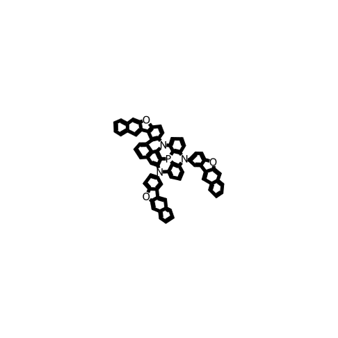 c1ccc2cc3c(cc2c1)oc1ccc(-n2c4cccc5c4-p4c6c2cccc6n2c6ccc7oc8cc9ccccc9cc8c7c6c6cccc7cc(c4c2c76)n5-c2ccc4oc5cc6ccccc6cc5c4c2)cc13